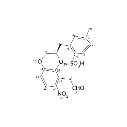 Cc1ccc(S(=O)(=O)O)c(C[C@@H]2COc3ccc([N+](=O)[O-])c(CC=O)c3O2)c1